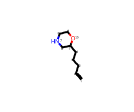 C=CCCCC1CNCCO1